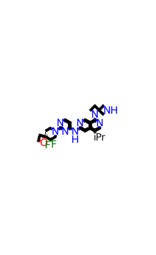 CC(C)c1cnc(N2CCC23CNC3)c2cnc(Nc3ccnc(N4CC[C@]5(CCO5)C(F)(F)C4)n3)cc12